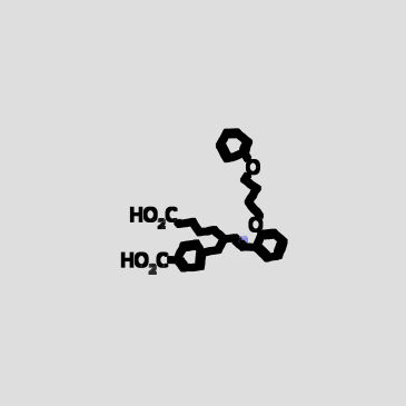 O=C(O)CCCCC(/C=C/c1ccccc1OCCCCOc1ccccc1)Cc1ccc(C(=O)O)cc1